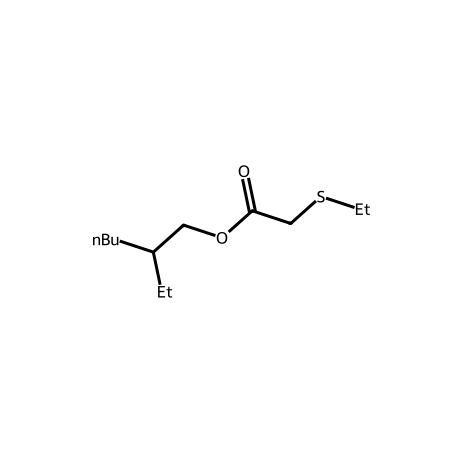 CCCCC(CC)COC(=O)CSCC